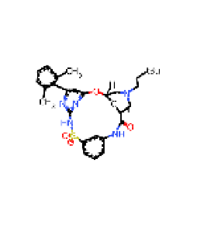 Cc1cccc(C)c1-c1cc2nc(n1)NS(=O)(=O)c1cccc(c1)NC(=O)[C@@H]1C[C@@H](CN(CCC(C)(C)C)C1)O2